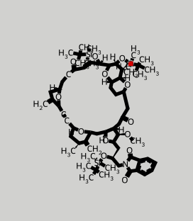 C=C1C[C@@H]2CCC(=O)/C=C/[C@H](O[Si](C)(C)C(C)(C)C)C3O[C@H]4CCC(CC(=O)C[C@H]5[C@H](CC6O[C@@H](CCC1O2)C[C@@H](C)C6=C)OC(C[C@@H](CN1C(=O)c2ccccc2C1=O)O[Si](C)(C)C(C)(C)C)[C@@H]5OC)O[C@@H]4[C@H](C)[C@@H]3O[Si](C)(C)C(C)(C)C